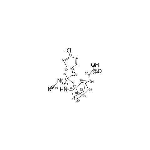 CC(C)(Oc1ccc(Cl)cc1)/C(=N/C#N)NC1C2CC3CC1CC(/C=C/C(=O)O)(C3)C2